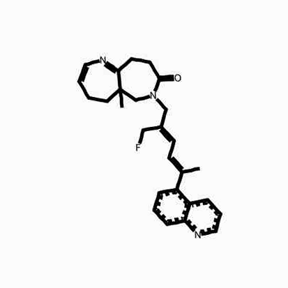 C/C(=C\C=C(/CF)CN1CC2(C)CCC=CN=C2CCC1=O)c1cccc2ncccc12